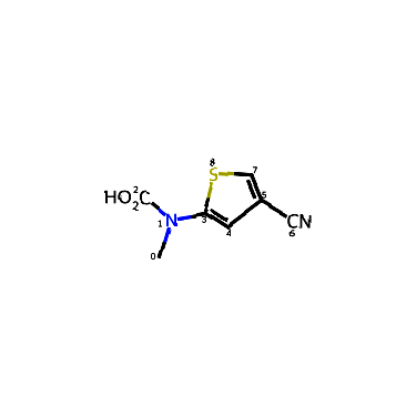 CN(C(=O)O)c1cc(C#N)cs1